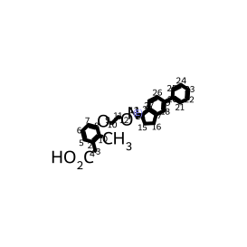 Cc1c(CC(=O)O)cccc1OCCO/N=C1\CCc2cc(-c3ccccc3)ccc21